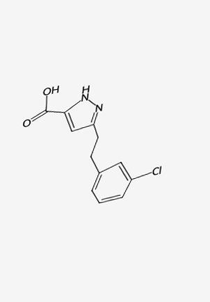 O=C(O)c1cc(CCc2cccc(Cl)c2)n[nH]1